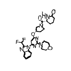 O=C1CCC[C@H](C(=O)N2CC[C@H](Oc3cc(-n4c(C(F)F)nc5ccccc54)nc(N4CCOCC4)n3)C2)N1